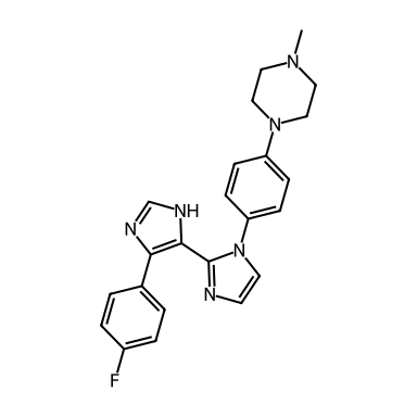 CN1CCN(c2ccc(-n3ccnc3-c3[nH]cnc3-c3ccc(F)cc3)cc2)CC1